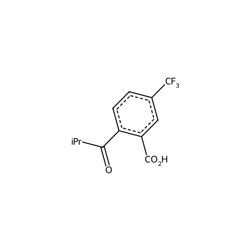 CC(C)C(=O)c1ccc(C(F)(F)F)cc1C(=O)O